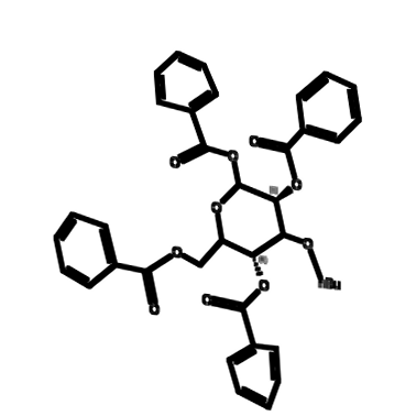 CCCCOC1[C@H](OC(=O)c2ccccc2)C(COC(=O)c2ccccc2)OC(OC(=O)c2ccccc2)[C@H]1OC(=O)c1ccccc1